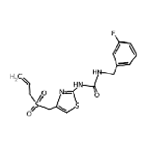 C=CCS(=O)(=O)Cc1csc(NC(=O)NCc2cccc(F)c2)n1